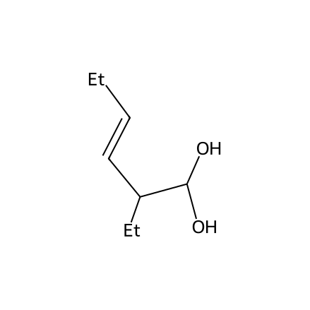 CCC=CC(CC)C(O)O